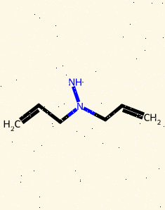 C=CCN([NH])CC=C